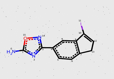 Nc1nc(-c2ccc3c(c2)C(I)=CC3)no1